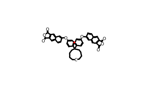 O=C1OC(=O)c2cc3cc(Oc4ccc(C5(c6ccc(Oc7ccc8cc9c(cc8c7)C(=O)OC9=O)cc6)CCCCCCCCC5)cc4)ccc3cc21